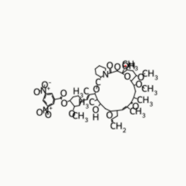 C=CCC1C=C(C)C(=O)C(C)CC(OC)C2OC(O)(C(=O)C(=O)N3CCCCC3COC(C(C)=CC3CCC(OC(=O)c4cc([N+](=O)[O-])cc([N+](=O)[O-])c4)C(OC)C3)C(C)C(O)CC1=O)C(C)CC2OC